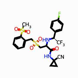 CS(=O)(=O)c1ccccc1CS(=O)(=O)CC(N[C@H](c1ccc(F)cc1)C(F)(F)F)C(=O)NC1(C#N)CC1